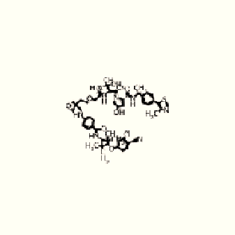 Cc1ncsc1-c1ccc([C@H](C)NC(=O)[C@@H]2C[C@@H](O)CN2C(=O)[C@@H](NC(=O)COCCC2(CNc3ccc(C(=O)N[C@H]4C(C)(C)[C@H](Oc5ccc(C#N)c(Cl)c5)C4(C)C)cc3)COC2)C(C)(C)C)cc1